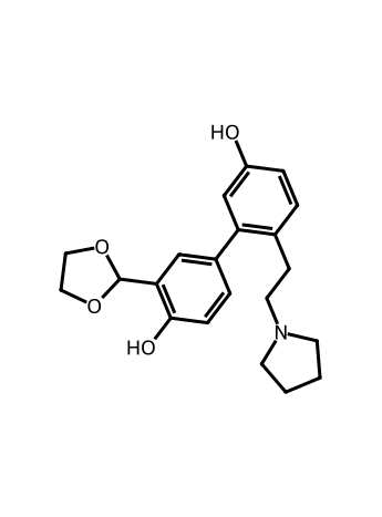 Oc1ccc(CCN2CCCC2)c(-c2ccc(O)c(C3OCCO3)c2)c1